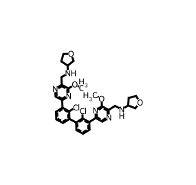 COc1nc(-c2cccc(-c3cccc(-c4cnc(CNC5CCOC5)c(OC)n4)c3Cl)c2Cl)cnc1CNC1CCOC1